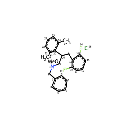 CON(Cc1ccccc1)CC(Cc1c(F)cccc1F)c1c(C)cccc1C.Cl